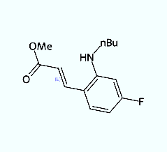 CCCCNc1cc(F)ccc1/C=C/C(=O)OC